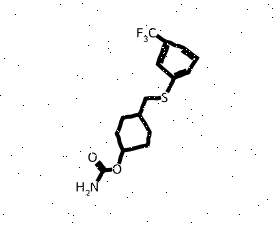 NC(=O)OC1CCC(CSc2cccc(C(F)(F)F)c2)CC1